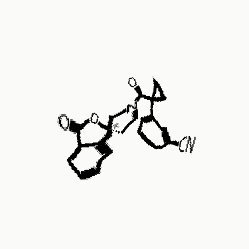 N#Cc1cccc(C2(C(=O)N3CC[C@@]4(C3)OC(=O)c3ccccc34)CC2)c1